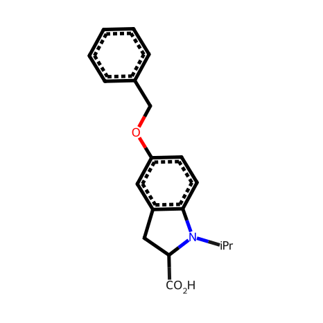 CC(C)N1c2ccc(OCc3ccccc3)cc2CC1C(=O)O